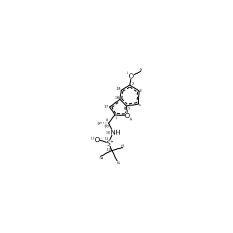 COc1ccc2oc([C@@H](C)N[S+]([O-])C(C)(C)C)cc2c1